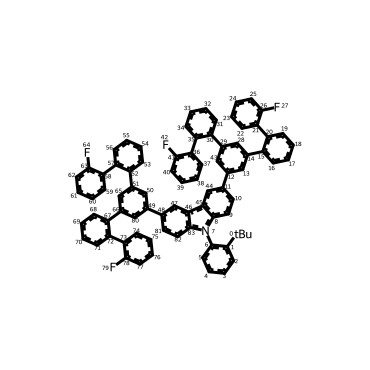 CC(C)(C)c1ccccc1-n1c2ccc(-c3cc(-c4ccccc4-c4ccccc4F)cc(-c4ccccc4-c4ccccc4F)c3)cc2c2cc(-c3cc(-c4ccccc4-c4ccccc4F)cc(-c4ccccc4-c4ccccc4F)c3)ccc21